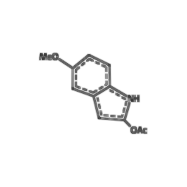 COc1ccc2[nH]c(OC(C)=O)cc2c1